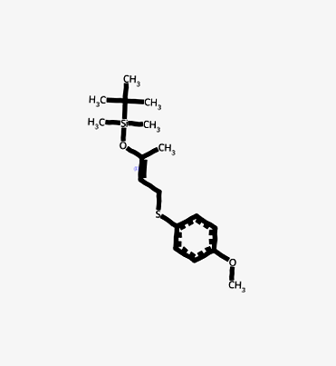 COc1ccc(SC/C=C(\C)O[Si](C)(C)C(C)(C)C)cc1